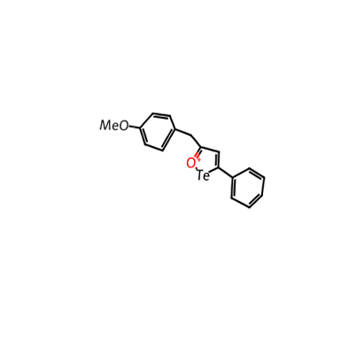 COc1ccc(Cc2cc(-c3ccccc3)[te][o+]2)cc1